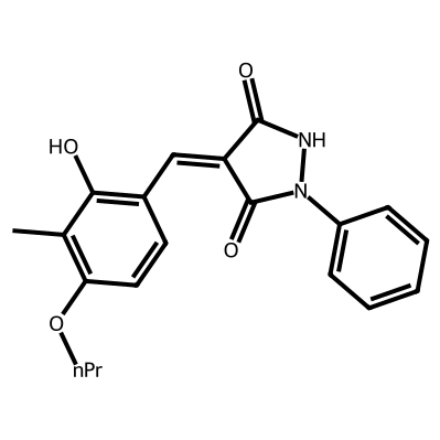 CCCOc1ccc(/C=C2/C(=O)NN(c3ccccc3)C2=O)c(O)c1C